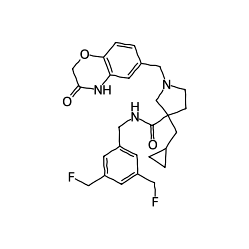 O=C1COc2ccc(CN3CCC(CC4CC4)(C(=O)NCc4cc(CF)cc(CF)c4)C3)cc2N1